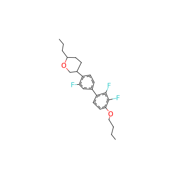 CCCCOc1ccc(-c2ccc(C3CCC(CCC)OC3)c(F)c2)c(F)c1F